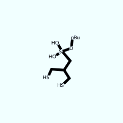 CCCCO[Si](O)(O)CC(CS)CS